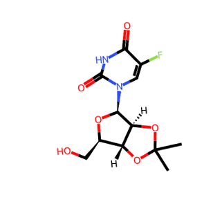 CC1(C)O[C@H]2[C@H](O1)[C@@H](CO)O[C@H]2n1cc(F)c(=O)[nH]c1=O